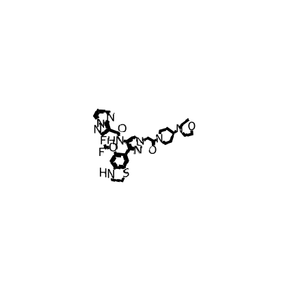 O=C(Nc1cn(CC(=O)N2CCC(N3CCOCC3)CC2)nc1-c1cc2c(cc1OC(F)F)NCCS2)c1cnn2cccnc12